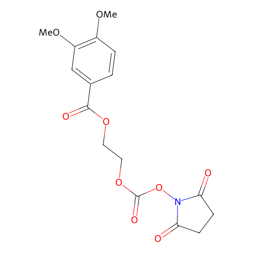 COc1ccc(C(=O)OCCOC(=O)ON2C(=O)CCC2=O)cc1OC